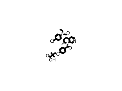 CCN(C(=O)[C@H]1C[C@H](C)N(C(=O)c2ccc(OCC(C)(C)C(=O)O)cc2)c2cnccc21)c1ccc(Cl)cc1